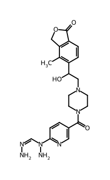 Cc1c(C(O)CN2CCN(C(=O)c3ccc(N(N)/C=N\N)nc3)CC2)ccc2c1COC2=O